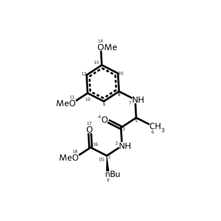 CCCC[C@H](NC(=O)C(C)Nc1cc(OC)cc(OC)c1)C(=O)OC